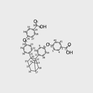 O=C(O)c1ccc(Oc2ccc(C3C4CC5CC(C4)CC3(c3ccc(Oc4ccc(C(=O)O)cc4)cc3)C5)cc2)cc1